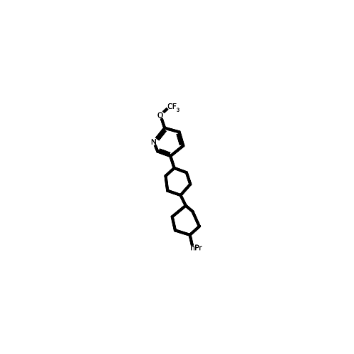 CCCC1CCC(C2CCC(c3ccc(OC(F)(F)F)nc3)CC2)CC1